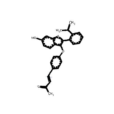 CC(=O)/C=C/c1ccc(Oc2c(-c3ccccc3C(C)C)sc3cc(O)ccc23)cc1